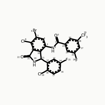 O=C(Nc1cc(Br)c(Cl)c2c1C(c1cc(F)ccc1Cl)NC2=O)c1cc(F)cc(C(F)(F)F)c1